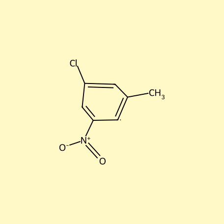 Cc1[c]c([N+](=O)[O-])cc(Cl)c1